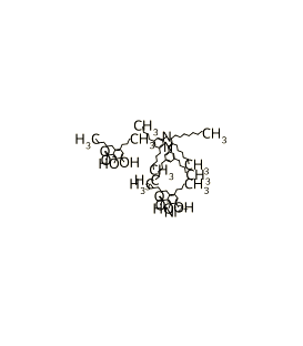 CCCCCCCCC(=Nc1cc(CCCCC)cc(CCCCC)c1)C(CCCCCC)=Nc1cc(CCCCC)cc(CCCCC)c1.CCCCCc1c(CCCC)cc(O)c(O)c1C(=O)[O-].CCCCCc1c(CCCC)cc(O)c(O)c1C(=O)[O-].[Ni+2]